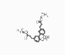 CCOC(=O)CCc1ccc(O)c(-c2cc(CCC(=O)OCC)ccc2O)c1